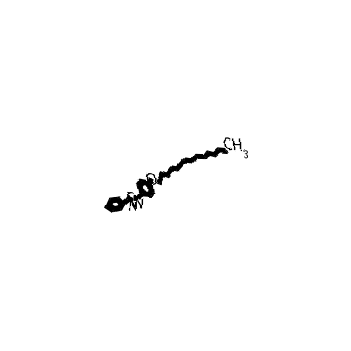 CCCCCCCCCCCCCCOc1ccc(-c2nnc(-c3ccccc3)s2)cc1